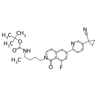 C[C@@H](CCCn1ccc2cc(-c3ccc(C4(C#N)CC4)cn3)cc(F)c2c1=O)NC(=O)OC(C)(C)C